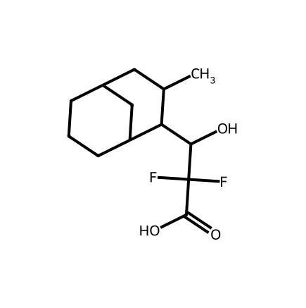 CC1CC2CCCC(C2)C1C(O)C(F)(F)C(=O)O